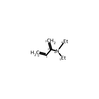 C=CC(=C)N(CC)CC